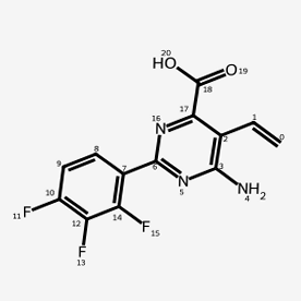 C=Cc1c(N)nc(-c2ccc(F)c(F)c2F)nc1C(=O)O